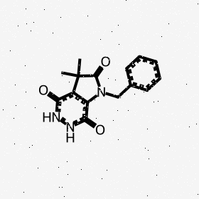 CC1(C)C(=O)N(Cc2ccccc2)c2c1c(=O)[nH][nH]c2=O